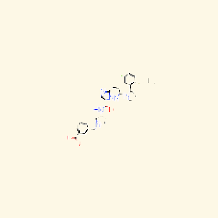 CSc1ccc(F)cc1C1C[C@H](F)CN1c1ccc2ncc(C(=O)N[C@H]3CCN(Cc4cccc(C(=O)O)c4)C3)n2n1